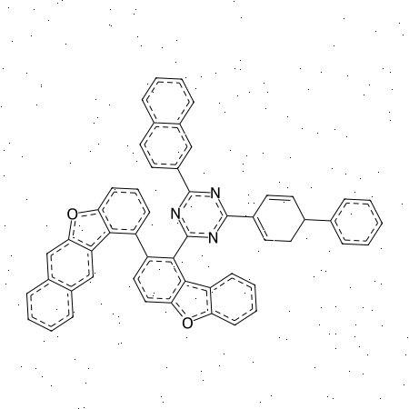 C1=CC(c2ccccc2)CC=C1c1nc(-c2ccc3ccccc3c2)nc(-c2c(-c3cccc4oc5cc6ccccc6cc5c34)ccc3oc4ccccc4c23)n1